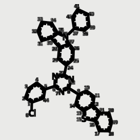 Clc1cccc(-c2nc(-c3ccc4c(c3)sc3ccccc34)nc(-c3ccc4c(c3)c3ccccc3n4-c3ccccc3)n2)c1